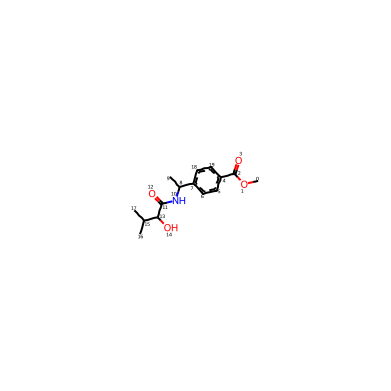 COC(=O)c1ccc(C(C)NC(=O)C(O)C(C)C)cc1